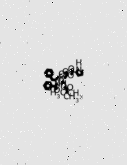 CC(C)(C)C(=O)OCOP(=O)(CC(=O)OC(=O)[C@@H]1CCCN1)CC(Cc1ccccc1)NC(=O)c1ccccc1